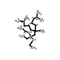 CCO[Si](CC)(CC(C)(CCCN(C)C)CCCN(C)C)OCC